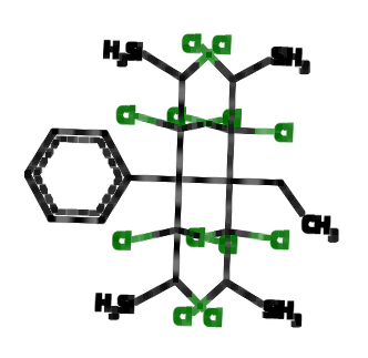 CCC(C(Cl)(Cl)C([SiH3])Cl)(C(Cl)(Cl)C([SiH3])Cl)C(c1ccccc1)(C(Cl)(Cl)C([SiH3])Cl)C(Cl)(Cl)C([SiH3])Cl